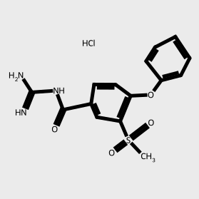 CS(=O)(=O)c1cc(C(=O)NC(=N)N)ccc1Oc1ccccc1.Cl